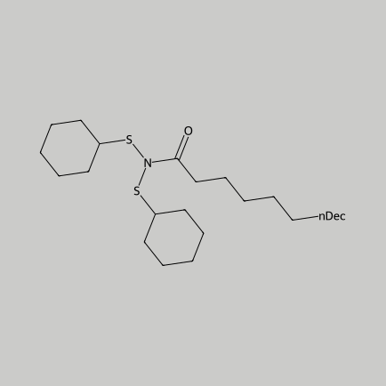 CCCCCCCCCCCCCCCC(=O)N(SC1CCCCC1)SC1CCCCC1